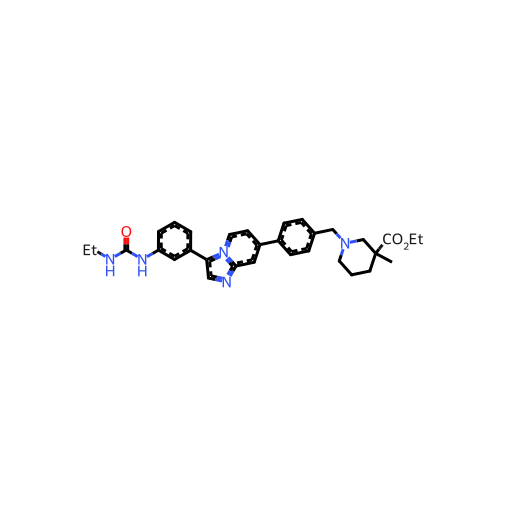 CCNC(=O)Nc1cccc(-c2cnc3cc(-c4ccc(CN5CCCC(C)(C(=O)OCC)C5)cc4)ccn23)c1